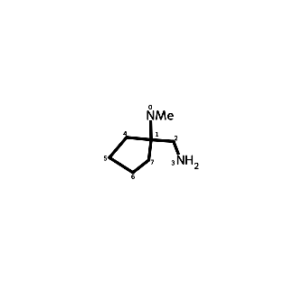 CNC1(CN)CCCC1